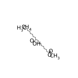 C.CCCCCCCCC(CCCCCCCCC(=O)OC)C(=O)O